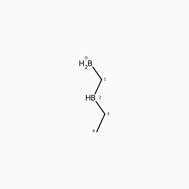 BCBCC